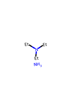 CCN(CC)CC.N